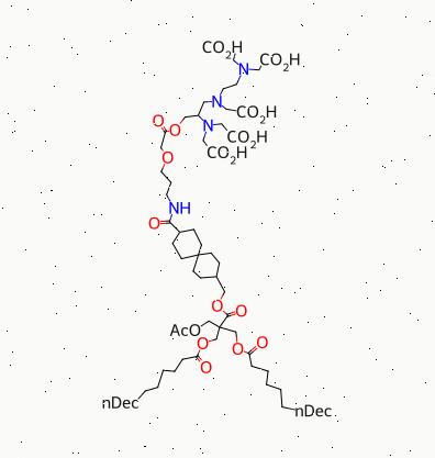 CCCCCCCCCCCCCCCC(=O)OCC(COC(C)=O)(COC(=O)CCCCCCCCCCCCCCC)C(=O)OCC1CCC2(CC1)CCC(C(=O)NCCCOCC(=O)OCC(CN(CCN(CC(=O)O)CC(=O)O)CC(=O)O)N(CC(=O)O)CC(=O)O)CC2